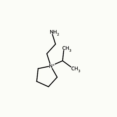 CC(C)[N+]1(CCN)CCCC1